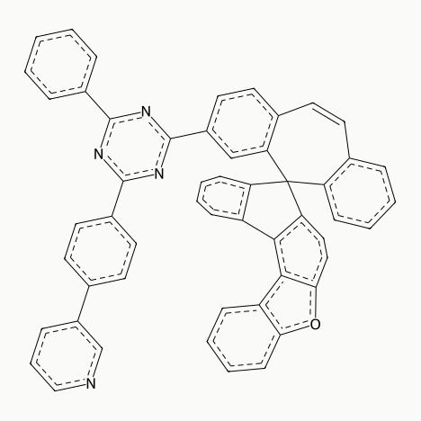 C1=Cc2ccc(-c3nc(-c4ccccc4)nc(-c4ccc(-c5cccnc5)cc4)n3)cc2C2(c3ccccc31)c1ccccc1-c1c2ccc2oc3ccccc3c12